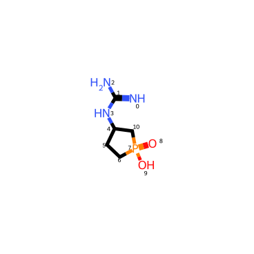 N=C(N)NC1CCP(=O)(O)C1